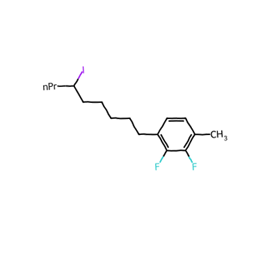 CCCC(I)CCCCCc1ccc(C)c(F)c1F